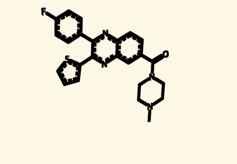 CN1CCN(C(=O)c2ccc3nc(-c4ccc(F)cc4)c(-c4cccs4)nc3c2)CC1